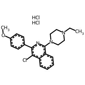 CCN1CCN(c2nc(-c3ccc(OC)cc3)c(Cl)c3ccccc23)CC1.Cl.Cl